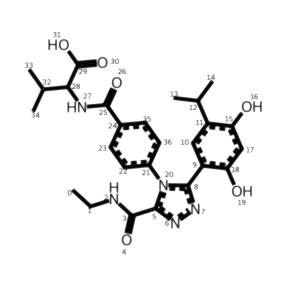 CCNC(=O)c1nnc(-c2cc(C(C)C)c(O)cc2O)n1-c1ccc(C(=O)NC(C(=O)O)C(C)C)cc1